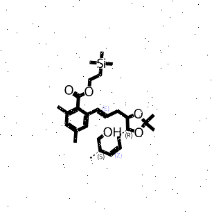 Cc1cc(C)c(C(=O)OCC[Si](C)(C)C)c(/C=C/CC2OC(C)(C)O[C@@H]2C/C=C\[C@H](C)CO)c1